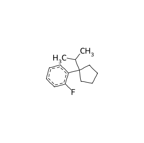 CC(C)C1(c2ccccc2F)CCCC1